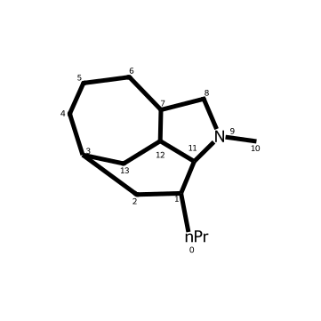 CCCC1CC2CCCC3CN(C)C1C3C2